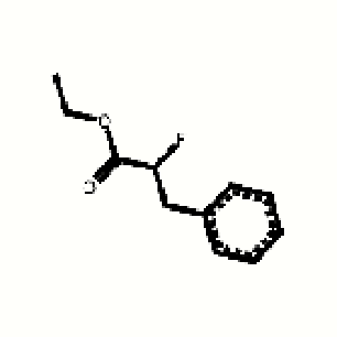 CCOC(=O)C(F)Cc1ccccc1